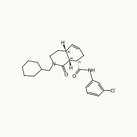 O=C(Nc1cccc(Cl)c1)[C@H]1CC=C[C@H]2CCN(CC3CCCCC3)C(=O)[C@@H]12